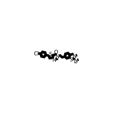 CN(C)C(=S)N(C)Cc1ccc(CCn2cnc3cc(-c4ccc(Cl)cc4)sc3c2=O)cc1